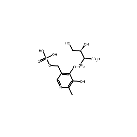 Cc1ncc(COP(=O)(O)O)c(C=O)c1O.N[C@H](C(=O)O)[C@H](O)CO